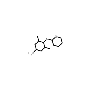 CC1CC(N)CC(C)C1OC1CCCCO1